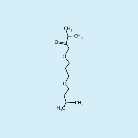 CC(C)CCOCCCOCC(=O)C(C)C